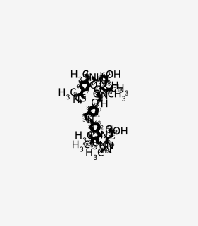 Cc1ncsc1-c1ccc(C(C)NC(=O)[C@@H]2C[C@@H](O)CN2C(=O)C(NC(=O)COc2ccc3c(c2)CCN3c2ccc(C3=N[C@@H](CC(=O)O)c4nnc(C)n4-c4sc(C)c(C)c43)cc2)C(C)(C)C)cc1